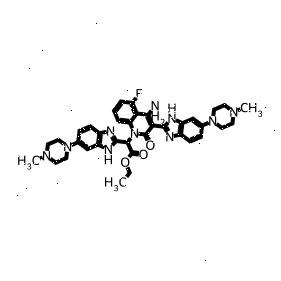 CCOC(=O)C(c1nc2ccc(N3CCN(C)CC3)cc2[nH]1)n1c(=O)c(-c2nc3ccc(N4CCN(C)CC4)cc3[nH]2)c(N)c2c(F)cccc21